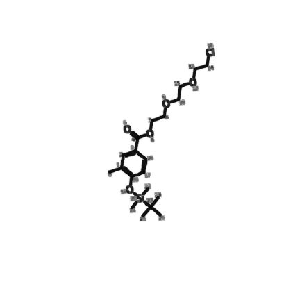 Cc1cc(C(=O)OCCOCCOCCCl)ccc1O[Si](C)(C)C(C)(C)C